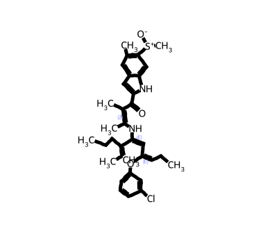 CC/C=C(\C=C(\N/C(C)=C(/C)C(=O)c1cc2cc(C)c([S+](C)[O-])cc2[nH]1)C(CCC)=C(C)C)Oc1cccc(Cl)c1